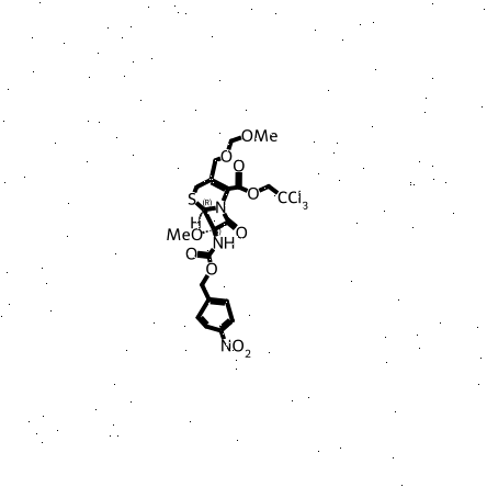 COCOCC1=C(C(=O)OCC(Cl)(Cl)Cl)N2C(=O)[C@](NC(=O)OCc3ccc([N+](=O)[O-])cc3)(OC)[C@H]2SC1